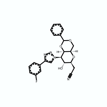 N#CC[C@@H]1O[C@@H]2COC(c3ccccc3)O[C@@H]2[C@H](n2cc(-c3cccc(F)c3)nn2)[C@H]1O